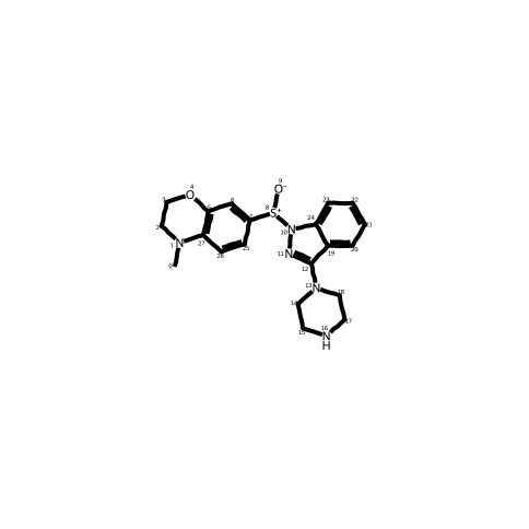 CN1CCOc2cc([S+]([O-])n3nc(N4CCNCC4)c4ccccc43)ccc21